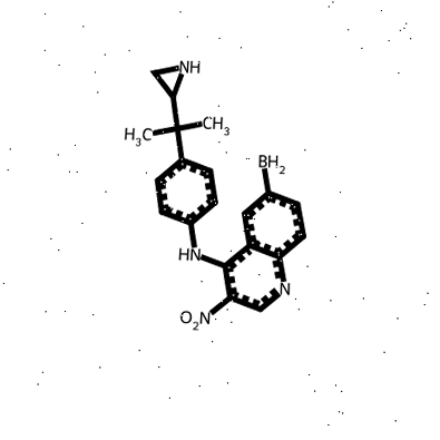 Bc1ccc2ncc([N+](=O)[O-])c(Nc3ccc(C(C)(C)C4CN4)cc3)c2c1